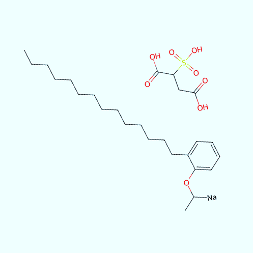 CCCCCCCCCCCCCCc1ccccc1O[CH](C)[Na].O=C(O)CC(C(=O)O)S(=O)(=O)O